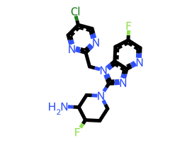 NC1CN(c2nc3ncc(F)cc3n2Cc2ncc(Cl)cn2)CCC1F